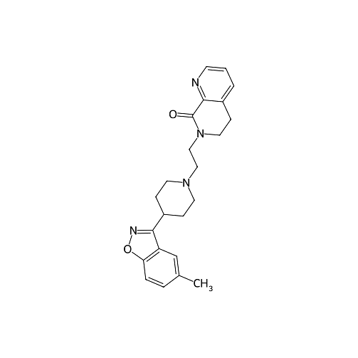 Cc1ccc2onc(C3CCN(CCN4CCc5cccnc5C4=O)CC3)c2c1